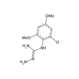 COc1cc(Cl)c(N/C(N)=N/N)c(OC)c1